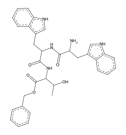 CC(O)C(NC(=O)C(Cc1c[nH]c2ccccc12)NC(=O)C(N)Cc1c[nH]c2ccccc12)C(=O)OCc1ccccc1